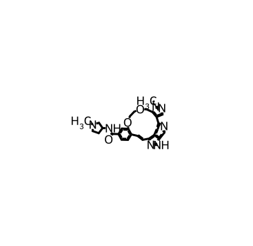 CN1CCC(NC(=O)c2ccc3c(c2)OCCOCc2c(cnn2C)-c2cc4c(n[nH]c4cn2)/C=C/3)C1